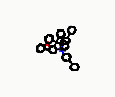 c1ccc(-c2ccc(N(c3ccc(-c4ccccc4)cc3)c3ccc4c(oc5ccccc54)c3C3(c4ccccc4)c4ccccc4-c4ccccc43)cc2)cc1